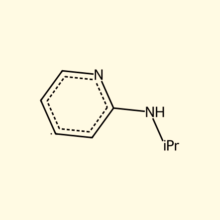 CC(C)Nc1c[c]ccn1